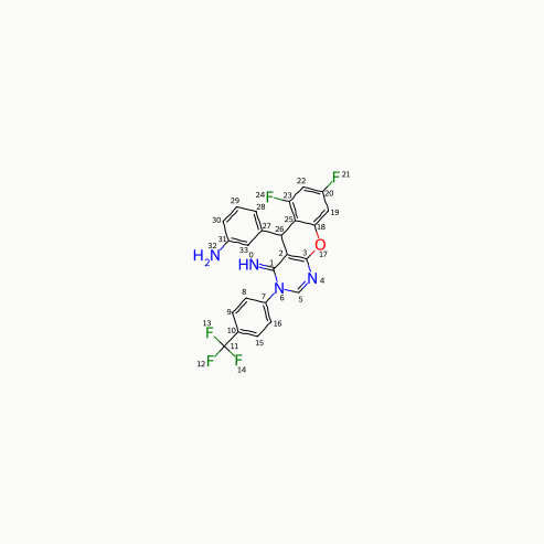 N=c1c2c(ncn1-c1ccc(C(F)(F)F)cc1)Oc1cc(F)cc(F)c1C2c1cccc(N)c1